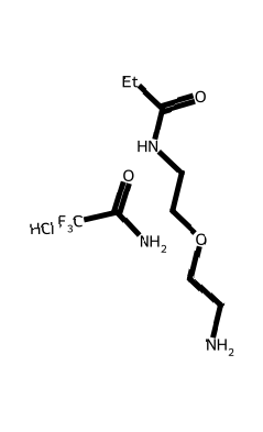 CCC(=O)NCCOCCN.Cl.NC(=O)C(F)(F)F